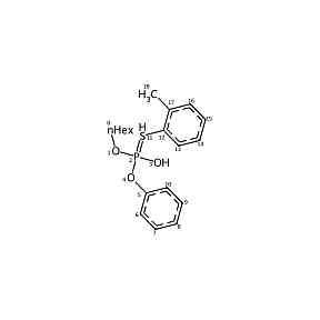 CCCCCCOP(O)(Oc1ccccc1)=[SH]c1ccccc1C